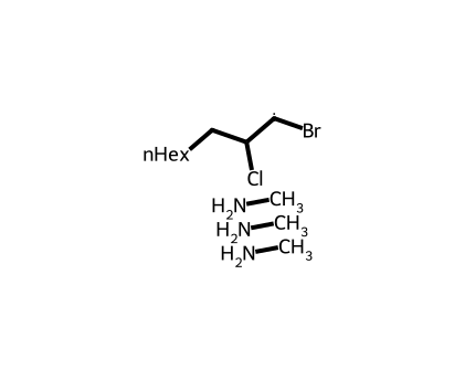 CCCCCCCC(Cl)[CH]Br.CN.CN.CN